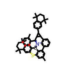 Cc1cc2c3c(c1)-c1cccc4c1[N+](=C(c1ccccc1C)C1C(c5ccc6c(c5)C(C)(C)CCC6(C)C)C41)B3c1cc3c(cc1S2)C(C)(C)CCC3(C)C